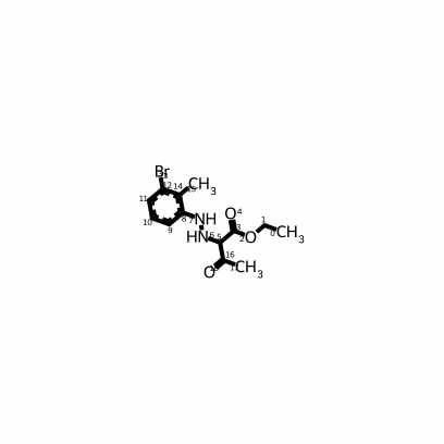 CCOC(=O)C(NNc1cccc(Br)c1C)C(C)=O